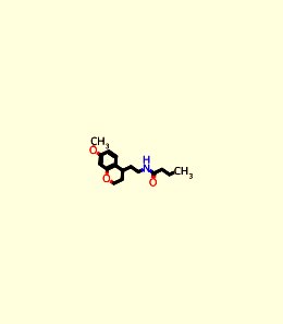 CCCC(=O)NCCC1CCOc2cc(OC)ccc21